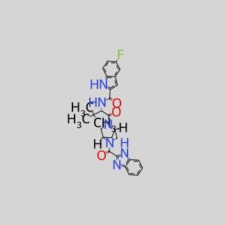 CC(C)(C)[C@H](NC(=O)c1cc2cc(F)ccc2[nH]1)C(=O)N1C[C@@H]2C[C@H]1CN2C(=O)c1nc2ccccc2[nH]1